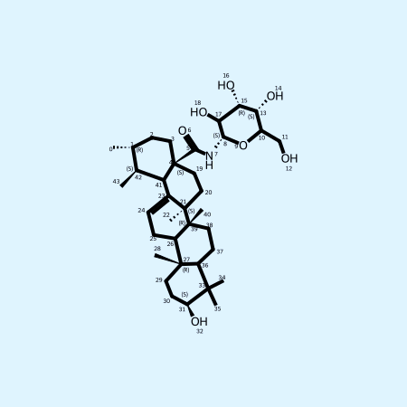 C[C@@H]1CC[C@]2(C(=O)N[C@H]3OC(CO)[C@@H](O)[C@@H](O)C3O)CC[C@]3(C)C(=CCC4[C@@]5(C)CC[C@H](O)C(C)(C)C5CC[C@]43C)C2[C@H]1C